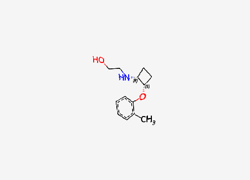 Cc1ccccc1O[C@H]1CC[C@H]1NCCO